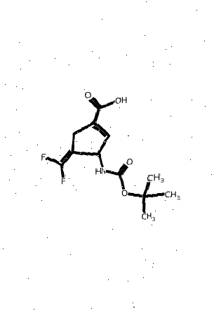 CC(C)(C)OC(=O)NC1C=C(C(=O)O)CC1=C(F)F